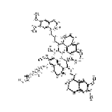 CCOc1cc2c(cc1OCC)C(CCCC(CCCCC(CCCC1NCCc3cc(OCC)c(OCC)cc31)C1NCCc3cc(OCC)c(OCC)cc31)C1NCCc3cc(OCC)c(OCC)cc31)NCC2.Cl.Cl.Cl.Cl.O.O.O.O